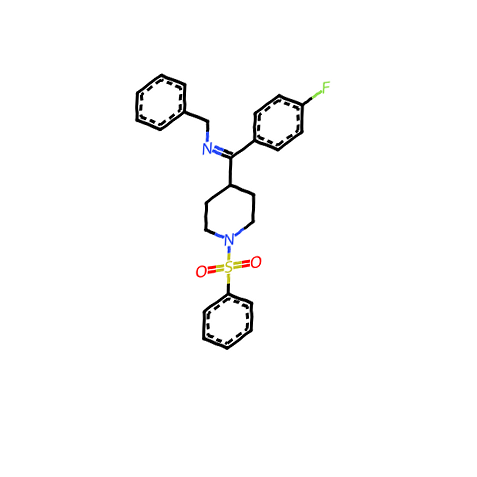 O=S(=O)(c1ccccc1)N1CCC(C(=NCc2ccccc2)c2ccc(F)cc2)CC1